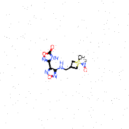 CS1(N=O)CC(CNc2nonc2-c2noc(=O)[nH]2)C1